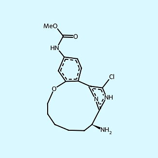 COC(=O)Nc1ccc2c(c1)OCCCCC[C@H](N)c1nc-2c(Cl)[nH]1